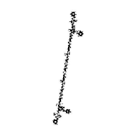 O=C(CCOCCOCCOCCOCCOCCC(=O)NCCCOCCOCCOCCCNC(=O)[C@H](CCCCNC(=O)OCc1ccccc1)NC(=O)OCc1ccccc1)NCCCOCCOCCOCCCNC(=O)[C@H](CCCCNC(=O)OCc1ccccc1)NC(=O)OCc1ccccc1